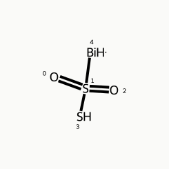 O=[S](=O)(S)[BiH]